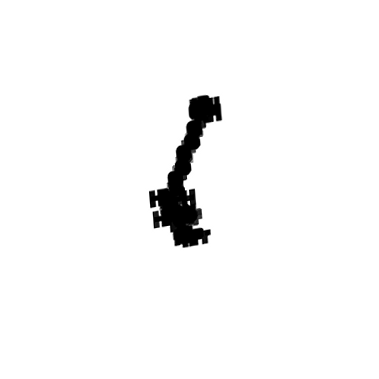 CCCn1cc(-c2nc(Nc3ccc(NC(=O)CCOCCOCCOCCOCCOCCNC(=O)OC(C)(C)C)cc3)nc3[nH]ccc23)cn1